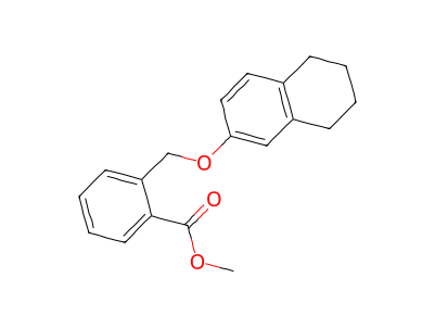 COC(=O)c1ccccc1COc1ccc2c(c1)CCCC2